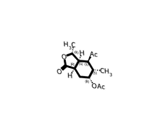 CC(=O)O[C@@H]1C[C@H]2C(=O)O[C@H](C)[C@H]2[C@@H](C(C)=O)[C@@H]1C